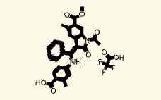 COC(=O)c1cc2c(cc1C)/C(=C(/Nc1ccc(C(=O)O)c(C)c1)c1ccccc1)C(=O)N2C(C)=O.O=C(O)C(F)(F)F